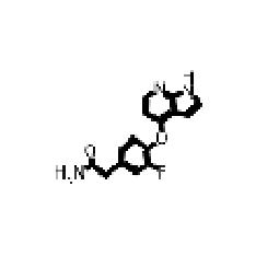 NC(=O)Cc1ccc(Oc2ccnc3[nH]ccc23)c(F)c1